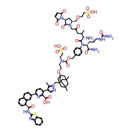 Cc1c(-c2ccc(-c3ccc4cccc(C(=O)Nc5nc6ccccc6s5)c4c3)nc2C(=O)O)cnn1CC12CC3(C)CC(C)(C1)CC(OCCN(CCS(=O)(=O)O)C(=O)OCc1ccc(N(C(=O)[C@@H](N)C(C)CC(=O)CN4C(=O)[C@@H](N5C(=O)C=CC5=O)C[C@H]4COCCS(=O)(=O)O)[C@@H](CCCNC(N)=O)C(N)=O)cc1)(C3)C2